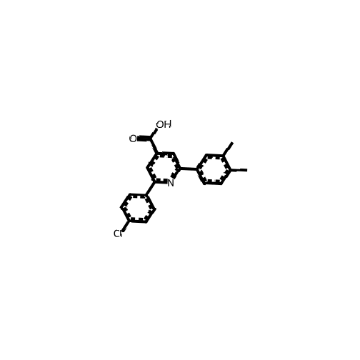 Cc1ccc(-c2cc(C(=O)O)cc(-c3ccc(Cl)cc3)n2)cc1C